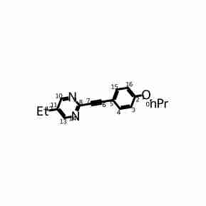 CCCOc1ccc(C#Cc2ncc(CC)cn2)cc1